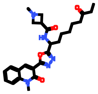 CCC(=O)CCCCCC(NC(=O)C1CN(C)C1)c1nnc(-c2cc3ccccc3n(C)c2=O)o1